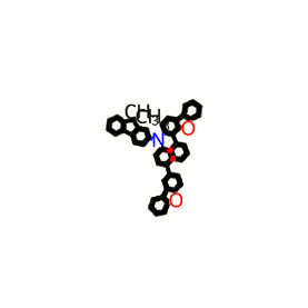 CC1(C)c2ccccc2-c2ccc(N(c3ccc(-c4ccc5oc6ccccc6c5c4)cc3)c3ccc4c(oc5ccccc54)c3-c3ccccc3)cc21